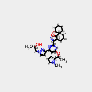 C[C@H](O)Cn1ccc(-c2cc(O[C@@H](C)[C@@H]3CCCN3C)nc(-c3noc4c3CCC[C@@]43CCCCC3=O)n2)n1